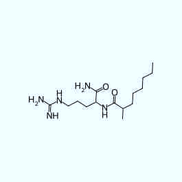 CCCCCCC(C)C(=O)NC(CCCNC(=N)N)C(N)=O